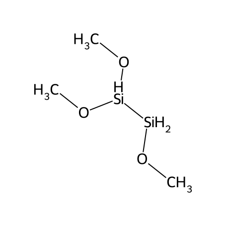 CO[SiH2][SiH](OC)OC